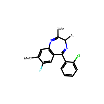 COC1=Nc2cc(OC)c(F)cc2C(c2ccccc2Cl)=NC1C(C)=O